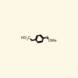 COOc1ccc(CC(=O)O)cc1